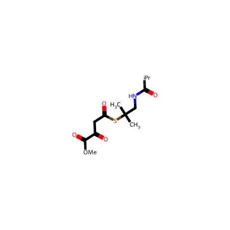 COC(=O)C(=O)CC(=O)SC(C)(C)CNC(=O)C(C)C